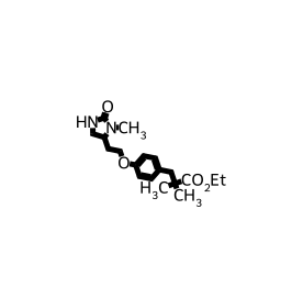 CCOC(=O)C(C)(C)Cc1ccc(OCCC2CNC(=O)N2C)cc1